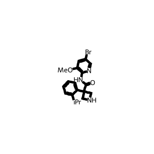 COc1cc(Br)cnc1NC(=O)C1(c2ccccc2C(C)C)CNC1